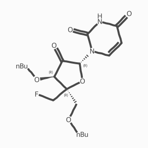 CCCCOC[C@@]1(CF)O[C@@H](n2ccc(=O)[nH]c2=O)C(=O)[C@@H]1OCCCC